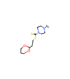 CC(=O)N1CCN(C(=S)SCCC2OCCCO2)CC1